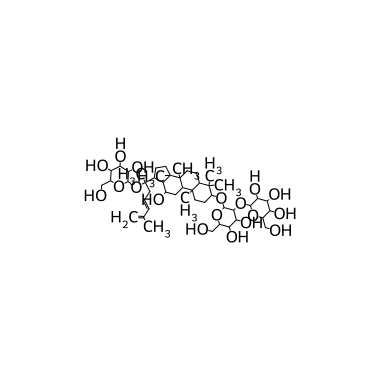 C=C(C)/C=C/CC(C)(OC1OC(CO)C(O)C(O)C1O)C1CCC2(C)C1C(O)CC1C3(C)CCC(OC4OC(CO)C(O)C(O)C4OC4OC(CO)C(O)C(O)C4O)C(C)(C)C3CCC12C